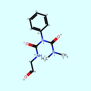 CN(C)C(=O)N(C(=O)NC[C]=O)c1ccccc1